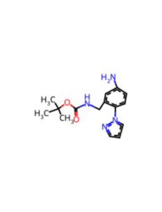 CC(C)(C)OC(=O)NCc1cc(N)ccc1-n1cccn1